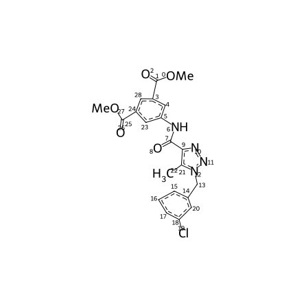 COC(=O)c1cc(NC(=O)c2nnn(Cc3cccc(Cl)c3)c2C)cc(C(=O)OC)c1